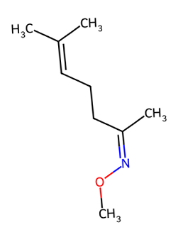 CON=C(C)CCC=C(C)C